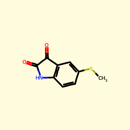 CSc1ccc2c(c1)C(=O)C(=O)N2